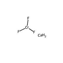 [CaH2].[F][Cr]([F])[F]